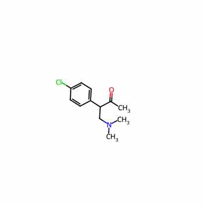 CC(=O)C(CN(C)C)c1ccc(Cl)cc1